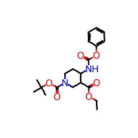 CCOC(=O)C1CN(C(=O)OC(C)(C)C)CCC1NC(=O)Oc1ccccc1